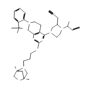 C=CC(O)N1CCN(c2nc(OCCCN3C[C@H]4C[C@@H]3CO4)nc3c2CCN(c2ccccc2C(F)(F)F)C3)CC1CC#N